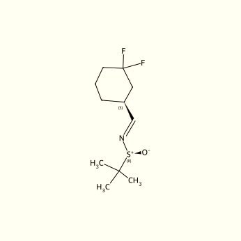 CC(C)(C)[S@+]([O-])N=C[C@H]1CCCC(F)(F)C1